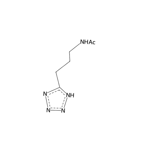 CC(=O)NCCCc1nnn[nH]1